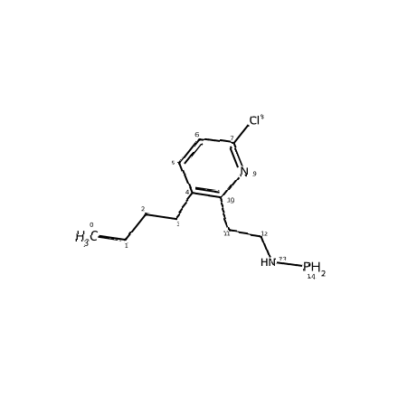 CCCCc1ccc(Cl)nc1CCNP